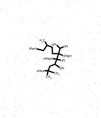 CCCCCCCC(CCC)([C](CCC)CC(C)(C)CCCCCC)C(CCCCCCC)(CCC(C)CC(C)CCC)C(CCC)CCC